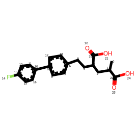 CC(CC(CCc1ccc(-c2ccc(F)cc2)cc1)C(=O)O)C(=O)O